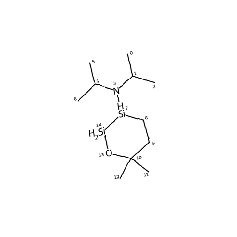 CC(C)N(C(C)C)[SiH]1CCC(C)(C)O[SiH2]1